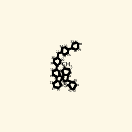 Cc1ccc2c(c1)C1(c3ccccc3-c3ccc(-c4ccc(Cc5ccc(-c6ccccc6)cc5)cc4)cc31)c1sc3ccccc3c1-2